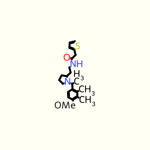 COc1ccc(C(C)N2CCCC2CCNC(=O)Cc2cccs2)c(C)c1C